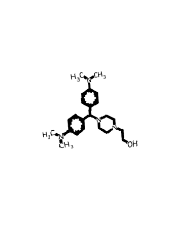 CN(C)c1ccc(C(c2ccc(N(C)C)cc2)N2CCN(CCO)CC2)cc1